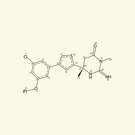 CC(C)Oc1cc(Cl)cc(-c2csc([C@]3(C)CC(=O)N(C)C(=N)N3)c2)c1